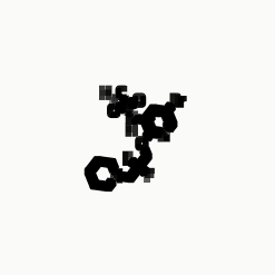 CS(=O)(=O)Nc1cc(Br)cnc1OCC(F)(F)CN1CCCCC1